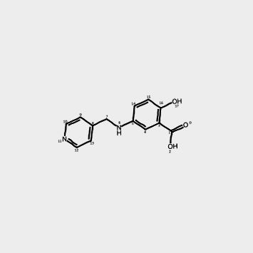 O=C(O)c1cc(NCc2ccncc2)ccc1O